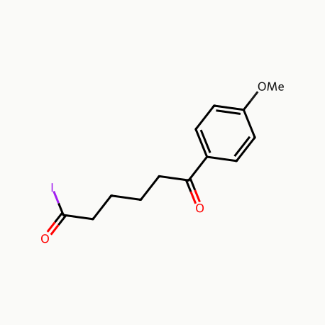 COc1ccc(C(=O)CCCCC(=O)I)cc1